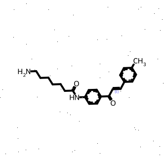 Cc1ccc(/C=C/C(=O)c2ccc(NC(=O)CCCCCCN)cc2)cc1